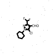 O=Cc1c(C(F)F)nn(C2CCCCC2)c1Cl